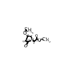 COC(=O)CN1C[C@@H](OC)CC1=O